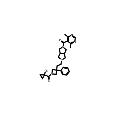 Cc1ncnc(C)c1C(=O)N1CC2CN(CCC3(c4ccccc4)CN(C(=O)C4(C#N)CC4)C3)CC2C1